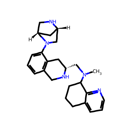 CN(C[C@H]1Cc2c(cccc2N2C[C@@H]3C[C@H]2CN3)CN1)C1CCCc2cccnc21